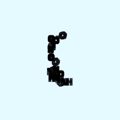 Nc1ncc(-c2cccc(OCCN3CCN(C(=O)OCc4ccccc4)CC3)c2)nc1C(=O)N[C@H]1CCCNC1